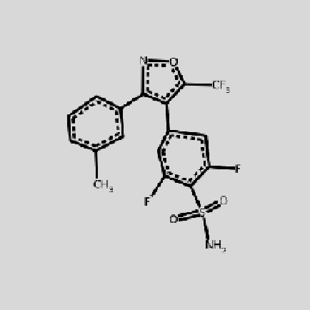 Cc1cccc(-c2noc(C(F)(F)F)c2-c2cc(F)c(S(N)(=O)=O)c(F)c2)c1